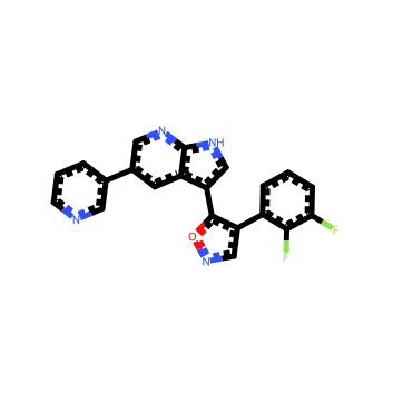 Fc1cccc(-c2cnoc2-c2c[nH]c3ncc(-c4cccnc4)cc23)c1F